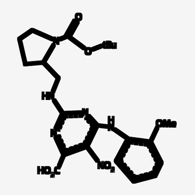 COc1ccccc1Nc1nc(NCC2CCCN2C(=O)OC(C)(C)C)nc(C(=O)O)c1[N+](=O)[O-]